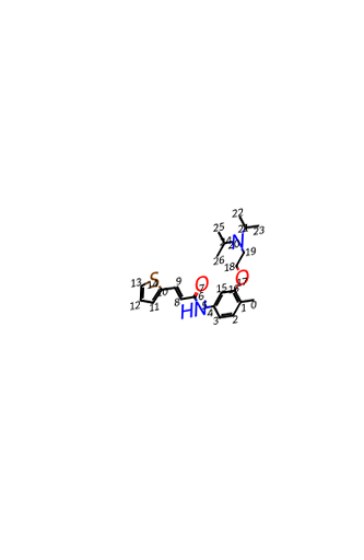 Cc1ccc(NC(=O)C=Cc2cccs2)cc1OCCN(C(C)C)C(C)C